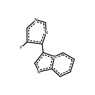 Fc1cncnc1-c1cnc2ccccn12